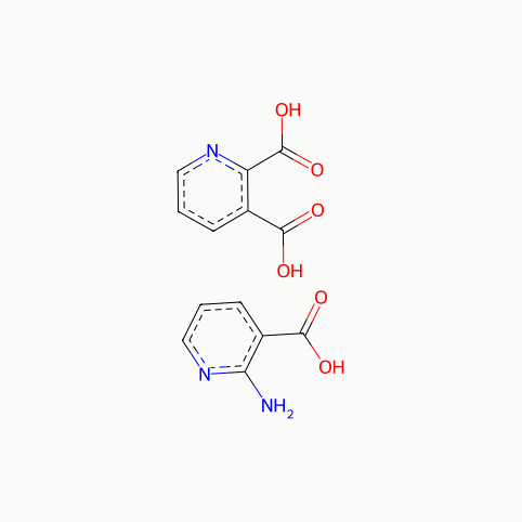 Nc1ncccc1C(=O)O.O=C(O)c1cccnc1C(=O)O